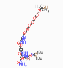 CC(C)[C@H](NC(=O)CON=C(CSC(C)(C)C)CSC(C)(C)C)C(=O)N[C@@H](CCCNC(N)=O)C(=O)Nc1ccc(COC(=O)NCc2cn(CCOCCOCCOCCOCCOCCOCCOCCC(C)(C)S)nn2)cc1